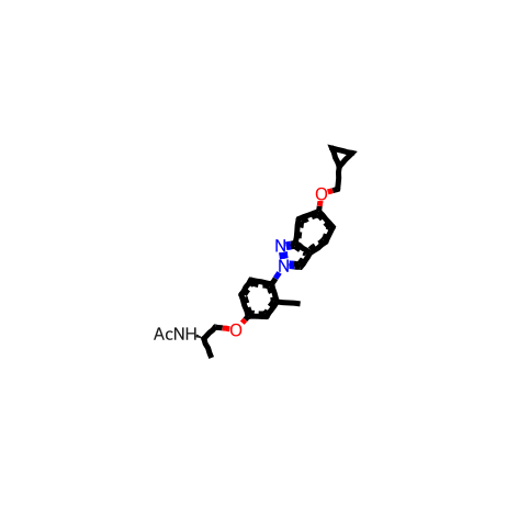 CC(=O)N[C@@H](C)COc1ccc(-n2cc3ccc(OCC4CC4)cc3n2)c(C)c1